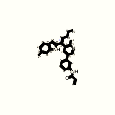 C=CC(=O)Nc1cccc(-c2cnc(C)c(/C(=C\CCC)c3cc4ccc(C)cc4[nH]3)c2)c1